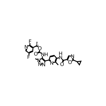 Cc1nc(-c2nnn(C)c2NC(=O)O[C@H](C)c2cc(F)cnc2F)ccc1NC(=O)c1cnc(C2CC2)o1